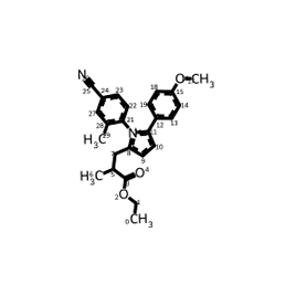 CCOC(=O)C(C)Cc1ccc(-c2ccc(OC)cc2)n1-c1ccc(C#N)cc1C